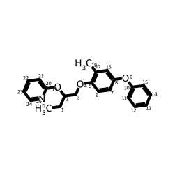 CCC(COc1ccc(Oc2ccccc2)cc1C)Oc1ccccn1